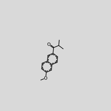 COc1ccc2cc(C(=O)C(C)C)ccc2c1